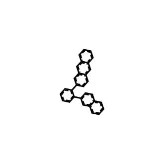 c1ccc(-c2ccc3cc4ccccc4cc3c2)c(-c2ccc3ccccc3c2)c1